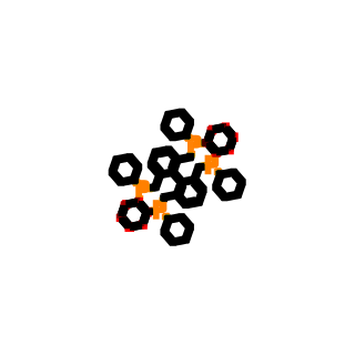 c1cc(CP(C2CCCCC2)C2CCCCC2)c(-c2c(CP(C3CCCCC3)C3CCCCC3)cccc2CP(C2CCCCC2)C2CCCCC2)c(CP(C2CCCCC2)C2CCCCC2)c1